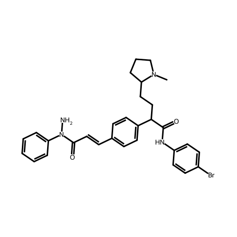 CN1CCCC1CCC(C(=O)Nc1ccc(Br)cc1)c1ccc(C=CC(=O)N(N)c2ccccc2)cc1